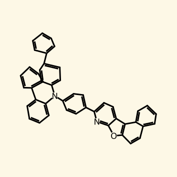 c1ccc(-c2ccc(N(c3ccc(-c4ccc5c(n4)oc4ccc6ccccc6c45)cc3)c3ccccc3-c3ccccc3)cc2)cc1